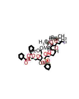 COC(C[C@@H]1OC(C[C@@H](COC(=O)c2ccccc2)OC(=O)c2ccccc2)[C@H](OC)[C@H]1C(C(O)C[C@H]1CC[C@@H]2O[C@@H]([C@H](/C=C/I)O[Si](C)(C)C(C)(C)C)C(O[Si](C)(C)C(C)(C)C)C[C@H]2O1)S(=O)(=O)c1ccccc1)OC